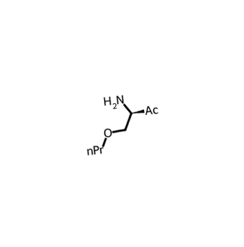 CCCOC[C@@H](N)C(C)=O